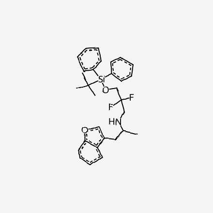 CC(Cc1coc2ccccc12)NCC(F)(F)CO[Si](c1ccccc1)(c1ccccc1)C(C)(C)C